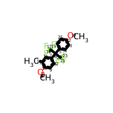 COc1ccc(C(c2ccc(OC)c(C)c2)(C(F)(F)F)C(F)(F)F)cc1